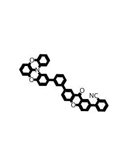 N#Cc1ccccc1-c1ccc2oc3ccc(-c4cccc(-c5ccc6c(c5)N5c7ccccc7Oc7cccc(c75)O6)c4)cc3c(=O)c2c1